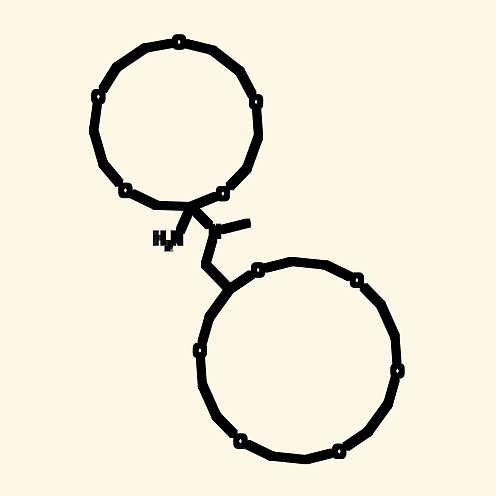 CN(CC1COCCOCCOCCOCCOCCO1)C1(N)COCCOCCOCCOCCO1